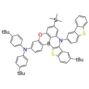 CC(C)(C)c1ccc(N(c2ccc(C(C)(C)C)cc2)c2ccc3c(c2)Oc2cc([Si](C)(C)C)cc4c2B3c2sc3ccc(C(C)(C)C)cc3c2N4c2ccc3sc4ccccc4c3c2)cc1